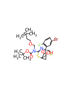 CC(C)(C)OC(=O)N(COCC[Si](C)(C)C)C1=N[C@](CF)(c2cc(Br)ccc2F)C2CC2(C(=O)O)S1